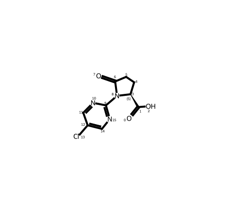 O=C(O)[C@@H]1CCC(=O)N1c1ncc(Cl)cn1